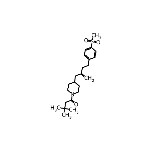 C=C(CCc1ccc(S(C)(=O)=O)cc1)CC1CCN(C(=O)CC(C)(C)C)CC1